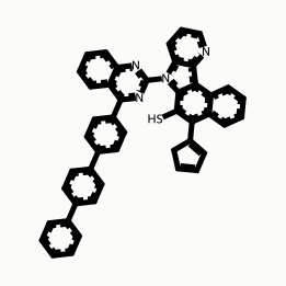 Sc1c(C2=CC=CC2)c2ccccc2c2c3ncccc3n(-c3nc(-c4ccc(-c5ccc(-c6ccccc6)cc5)cc4)c4ccccc4n3)c12